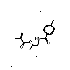 C=C(C)C(=O)OC(C)CNC(=O)c1ccc(C)cc1